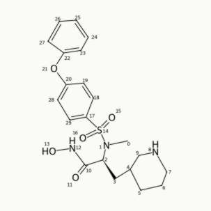 CN([C@@H](CC1CCCNC1)C(=O)NO)S(=O)(=O)c1ccc(Oc2ccccc2)cc1